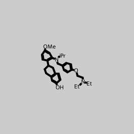 CCN(CC)CCOc1ccc(CN(c2cc(OC)ccc2C2CCc3cc(O)ccc3C2)C(C)C)cc1